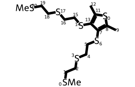 CSCCSCCSc1c(C)sc(C)c1SCCSCCSC